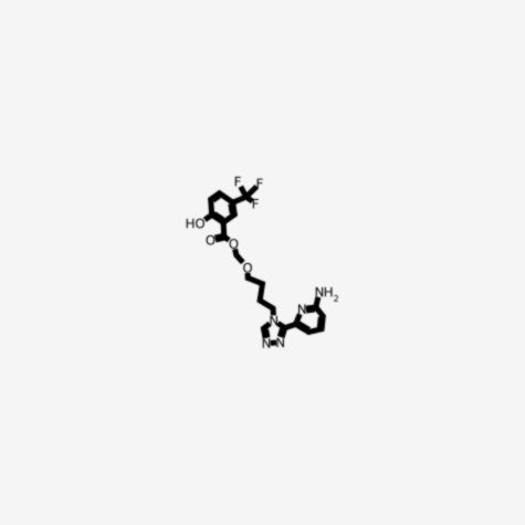 Nc1cccc(-c2nncn2CCCCOCOC(=O)c2cc(C(F)(F)F)ccc2O)n1